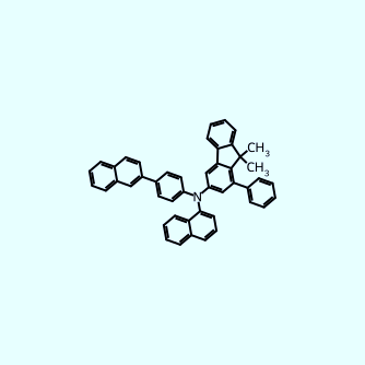 CC1(C)c2ccccc2-c2cc(N(c3ccc(-c4ccc5ccccc5c4)cc3)c3cccc4ccccc34)cc(-c3ccccc3)c21